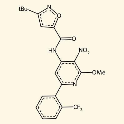 COc1nc(-c2ccccc2C(F)(F)F)cc(NC(=O)c2cc(C(C)(C)C)no2)c1[N+](=O)[O-]